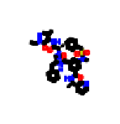 CCNC(=O)[C@@H](NC(=O)[C@H](C)NC[C@H](Cc1ccccc1)NC(=O)c1cc(C(=O)N[C@H](C)c2cccnc2)cc(N(C)S(=O)(=O)Cc2ccccc2)c1)C(C)C